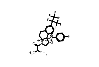 CC(C)C(=O)N1CC[C@@]2(S(=O)(=O)c3ccc(F)cc3)c3ccc(C(F)(C(F)(F)F)C(F)(F)F)cc3CC[C@@H]12